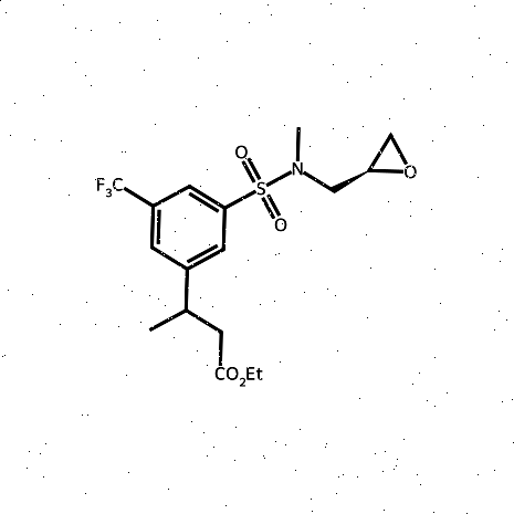 CCOC(=O)CC(C)c1cc(C(F)(F)F)cc(S(=O)(=O)N(C)C[C@H]2CO2)c1